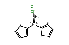 [Cl-].[Cl-].[SiH2]=[Hf+2]([C]1=CC=CC1)[C]1=CC=CC1